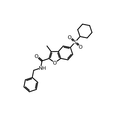 Cc1c(C(=O)NCc2ccccc2)oc2ccc(S(=O)(=O)C3CCCCC3)cc12